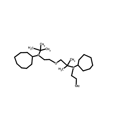 CC(C)(C)N(CCOCC(C)(C)N(CCO)C1CCCCCC1)C1CCCCCCC1